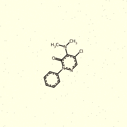 CN(C)c1c(Cl)cnn(-c2ccccc2)c1=O